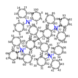 c1ccc([N+](c2ccccc2)(c2ccccc2)c2ccc(C(c3ccc([N+](c4ccccc4)(c4ccccc4)c4ccccc4)cc3)(c3ccc([N+](c4ccccc4)(c4ccccc4)c4ccccc4)cc3)c3ccc([N+](c4ccccc4)(c4ccccc4)c4ccccc4)cc3)cc2)cc1